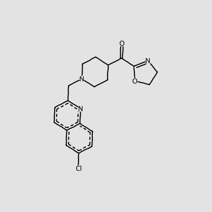 O=C(C1=NCCO1)C1CCN(Cc2ccc3cc(Cl)ccc3n2)CC1